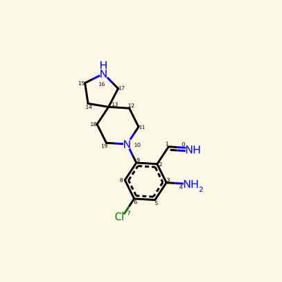 N=Cc1c(N)cc(Cl)cc1N1CCC2(CCNC2)CC1